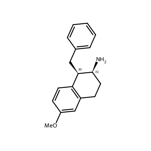 COc1ccc2c(c1)CC[C@H](N)[C@@H]2Cc1ccccc1